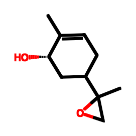 CC1=CCC(C2(C)CO2)C[C@@H]1O